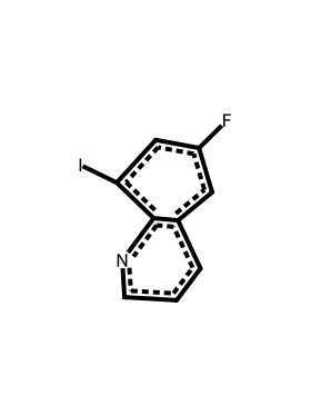 Fc1cc(I)c2ncccc2c1